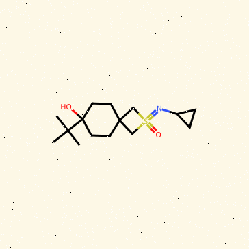 CC(C)(C)C1(O)CCC2(CC1)CS(=O)(=NC1CC1)C2